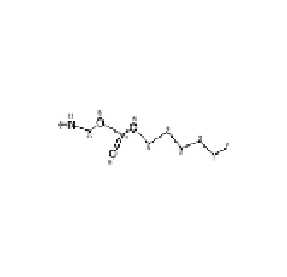 CCCCCCOC(=O)OC[NH]